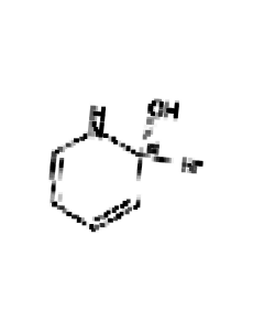 O[C@]1(Br)C=CC=CN1